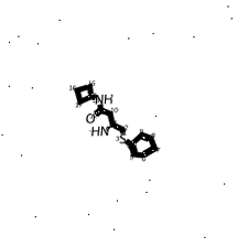 [NH][C@@H](CSc1ccccc1)CC(=O)NC1CCC1